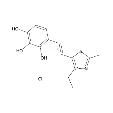 CC[n+]1nc(C)sc1/C=C/c1ccc(O)c(O)c1O.[Cl-]